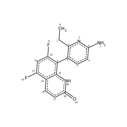 CCc1nc(N)ccc1-c1c(F)cc(F)c2ccc(=O)[nH]c12